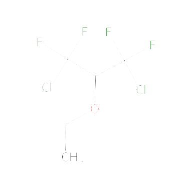 CCOC(C(F)(F)Cl)C(F)(F)Cl